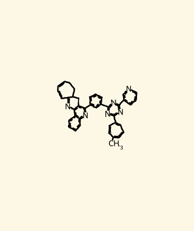 CC1=C=CC=C(c2nc(-c3cccnc3)nc(-c3cccc(-c4nc5ccccc5c5c4CC4CC/C=C\C=C/C4=N5)c3)n2)C=C1